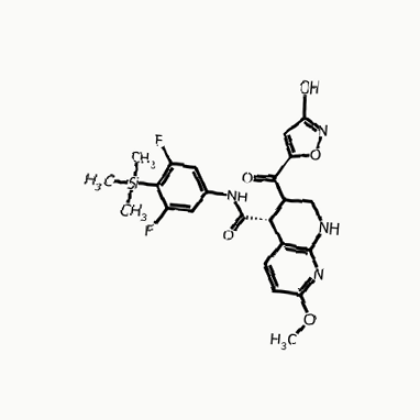 COc1ccc2c(n1)NCC(C(=O)c1cc(O)no1)[C@H]2C(=O)Nc1cc(F)c([Si](C)(C)C)c(F)c1